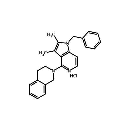 Cc1c(C)n(Cc2ccccc2)c2ccnc(N3CCc4ccccc4C3)c12.Cl